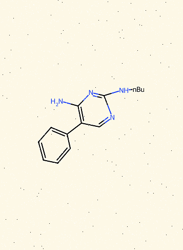 CCCCNc1ncc(-c2ccccc2)c(N)n1